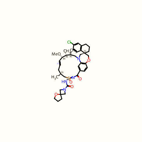 CO[C@H]1/C=C/C[C@H](C)C[S@@](=O)(NC(=O)N2CC3(CCCO3)C2)=NC(=O)c2ccc3c(c2)N(C[C@H](C)[C@H]1C)C[C@@]1(CCCc2cc(Cl)ccc21)CO3